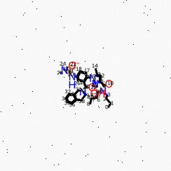 CCCCN(CCCC)C(=O)c1cc(C)n(-c2ccc(N[S+]([O-])N(C)C)cc2C(=O)N2Cc3ccccc3C[C@H]2CO)n1